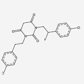 O=C1CC(=O)N(CC(F)c2ccc(Cl)cc2)C(=O)N1CCc1ccc(Cl)cc1